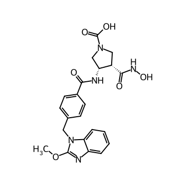 COc1nc2ccccc2n1Cc1ccc(C(=O)N[C@@H]2CN(C(=O)O)C[C@@H]2C(=O)NO)cc1